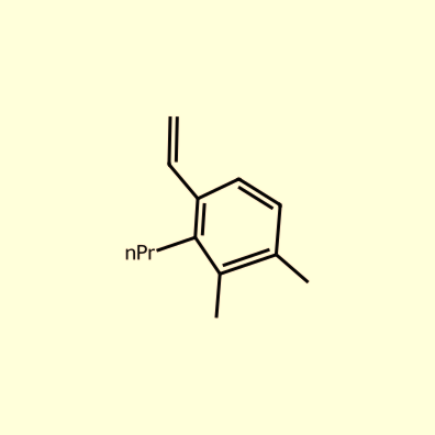 C=Cc1ccc(C)c(C)c1CCC